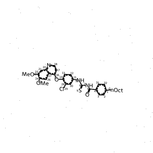 CCCCCCCCc1ccc(C(=O)NC(=S)Nc2ccc(Oc3ccnc4cc(OC)c(OC)cc34)c(Cl)c2)cc1